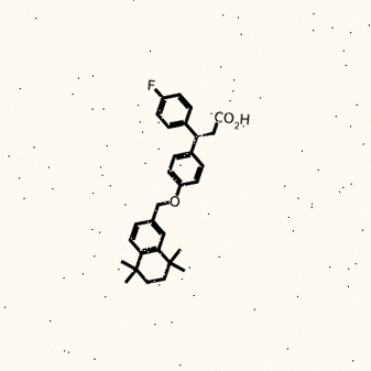 CC1(C)CCC(C)(C)c2cc(COc3ccc([C@H](CC(=O)O)c4ccc(F)cc4)cc3)ccc21